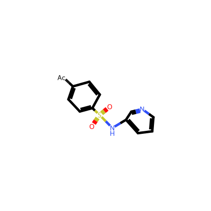 CC(=O)c1ccc(S(=O)(=O)Nc2cccnc2)cc1